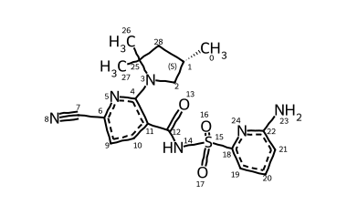 C[C@@H]1CN(c2nc(C#N)ccc2C(=O)NS(=O)(=O)c2cccc(N)n2)C(C)(C)C1